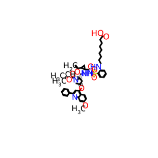 C=CC1CC1(NC(=O)[C@@H]1C[C@@H](Oc2cc(-c3ccccc3)nc3cc(OC)ccc23)CN1C(=O)OC(C)(C)C)C(=O)NS(=O)(=O)c1ccccc1NCCCCCCCCC(=O)O